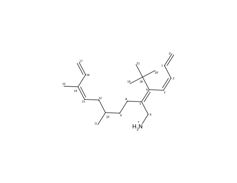 C=C/C=C\C(=C(/CN)CCC(C)C/C=C(/C)C=C)C(C)(C)C